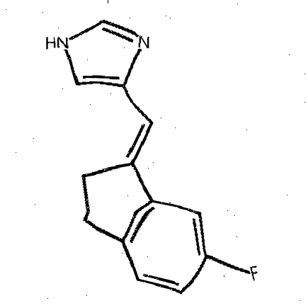 Fc1ccc2c(c1)/C(=C/c1c[nH]cn1)CC2